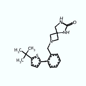 CC(C)(C)c1ccc(-c2ccccc2CN2CC3(CNC(=O)N3)C2)s1